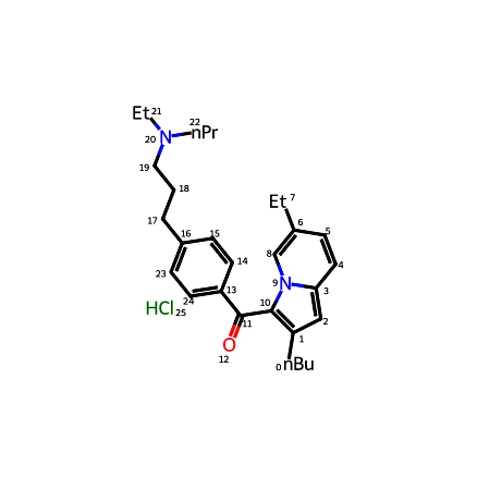 CCCCc1cc2ccc(CC)cn2c1C(=O)c1ccc(CCCN(CC)CCC)cc1.Cl